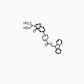 O=C(O)C(CO)n1cnc2ccc(N3CCN(C(=O)OCC4c5ccccc5C5C=CC=CC54)CC3)cc2c1=O